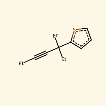 CCC#CC(CC)(CC)c1cccs1